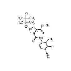 COC(=O)[C@@H]1C[C@@H](O[Si](C)(C)C(C)(C)C)CN1C(=O)Nc1ccc(C#N)c(Cl)c1C